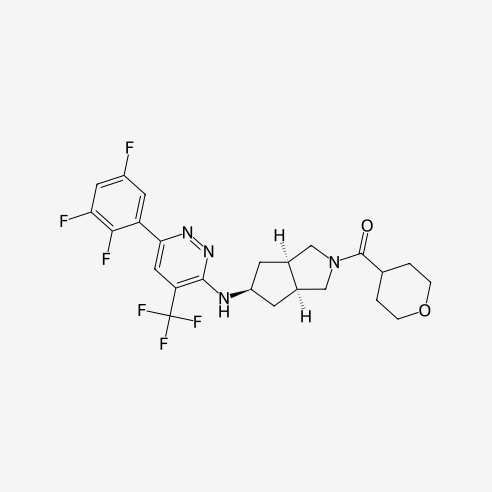 O=C(C1CCOCC1)N1C[C@H]2C[C@@H](Nc3nnc(-c4cc(F)cc(F)c4F)cc3C(F)(F)F)C[C@H]2C1